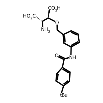 CC(C)(C)c1ccc(C(=O)Nc2cccc(CO[C@H](C(=O)O)[C@H](N)C(=O)O)c2)cc1